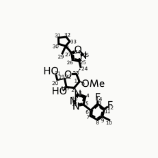 CO[C@@H]1[C@@H](n2cc(-c3ccc(C)c(F)c3F)nn2)[C@@H](O)[C@@H](CO)O[C@@H]1Cc1cc(C2(C)CCCC2)on1